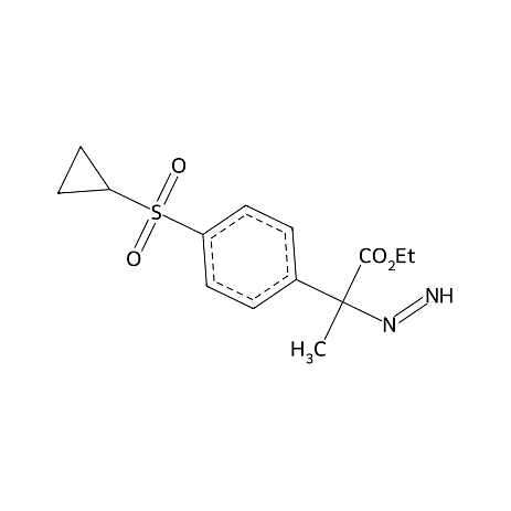 CCOC(=O)C(C)(N=N)c1ccc(S(=O)(=O)C2CC2)cc1